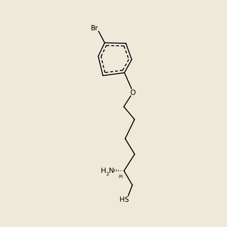 N[C@@H](CS)CCCCOc1ccc(Br)cc1